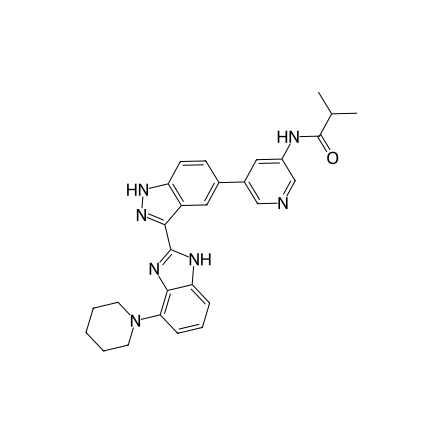 CC(C)C(=O)Nc1cncc(-c2ccc3[nH]nc(-c4nc5c(N6CCCCC6)cccc5[nH]4)c3c2)c1